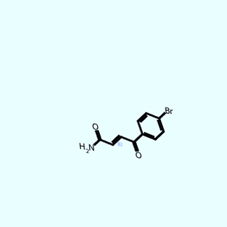 NC(=O)/C=C/C(=O)c1ccc(Br)cc1